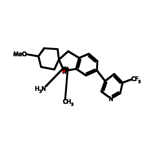 COC1CCC2(CC1)Cc1ccc(-c3cncc(C(F)(F)F)c3)cc1C21N=C(C)C(N)=N1